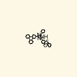 c1ccc(C2=NC(c3ccc4c5ccccc5c5ccccc5c4c3)=NC(c3ccc4c(c3)Sc3ccccc3O4)N2)cc1